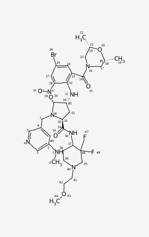 CNc1cncc(CN2C[C@H](Nc3c(C(=O)N4C[C@@H](C)O[C@@H](C)C4)cc(Br)cc3[N+](=O)[O-])C[C@H]2C(=O)NC2CCN(CCOC)CC2(F)F)c1